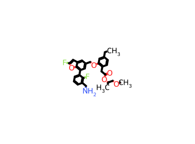 CCc1ccc(CC(=O)OC(C)COC)c(OCc2cc(-c3cccc(CN)c3F)c3oc(F)cc3c2)c1